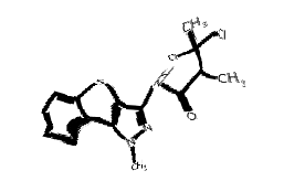 CC(C(=O)Nc1nn(C)c2c1sc1ccccc12)C(C)(Cl)Cl